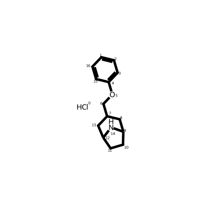 Cl.c1ccc(OCC2CC3CCC(C2)N3)cc1